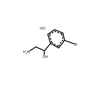 Cl.NCC(O)c1cccc(Br)c1